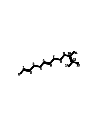 C/C=C/CC/C=C/CCCC(C)=C(C)C